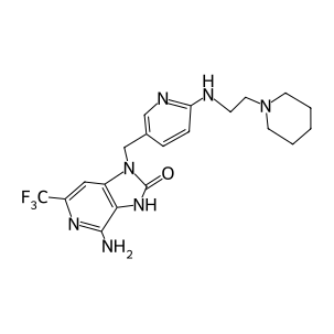 Nc1nc(C(F)(F)F)cc2c1[nH]c(=O)n2Cc1ccc(NCCN2CCCCC2)nc1